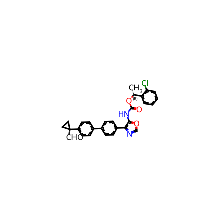 C[C@@H](OC(=O)Nc1ocnc1-c1ccc(-c2ccc(C3(C=O)CC3)cc2)cc1)c1ccccc1Cl